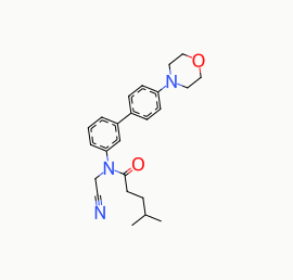 CC(C)CCC(=O)N(CC#N)c1cccc(-c2ccc(N3CCOCC3)cc2)c1